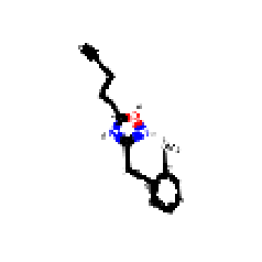 C#CCCc1nc(Cc2ccccc2OC)no1